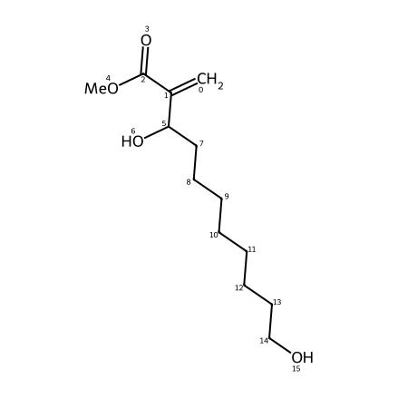 C=C(C(=O)OC)C(O)CCCCCCCCO